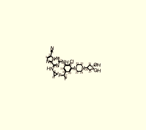 N#Cc1cnc2c(NC3CC3)nc(Nc3cc(C(F)F)cc(N4CCN(C5CS(O)(O)C5)CC4)c3Cl)nn12